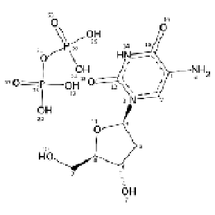 Nc1cn([C@H]2C[C@H](O)[C@@H](CO)O2)c(=O)[nH]c1=O.O=P(O)(O)OP(=O)(O)O